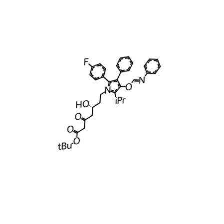 CC(C)c1c(O/C=N/c2ccccc2)c(-c2ccccc2)c(-c2ccc(F)cc2)n1CC[C@@H](O)CC(=O)CC(=O)OC(C)(C)C